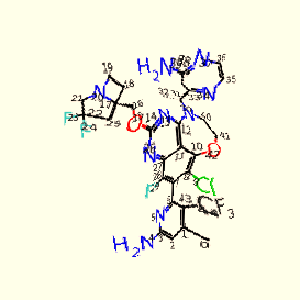 Cc1cc(N)nc(-c2c(Cl)c3c4c(nc(OC[C@]56CCN5CC(F)(F)C6)nc4c2F)N([C@H](C)c2nccnc2N)CCO3)c1C(F)(F)F